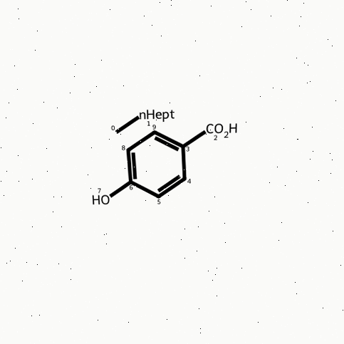 CCCCCCCC.O=C(O)c1ccc(O)cc1